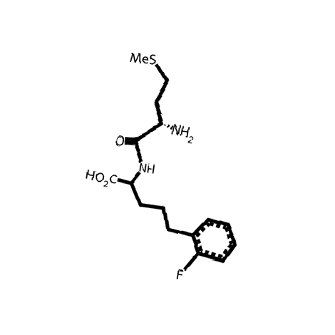 CSCC[C@H](N)C(=O)NC(CCCc1ccccc1F)C(=O)O